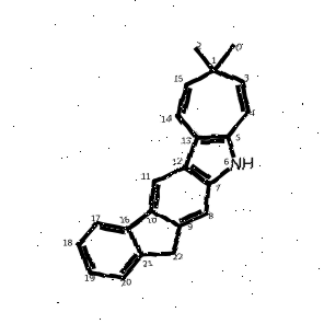 CC1(C)C=Cc2[nH]c3cc4c(cc3c2C=C1)-c1ccccc1C4